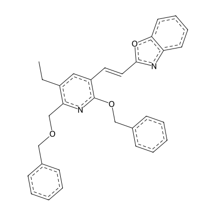 CCc1cc(C=Cc2nc3ccccc3o2)c(OCc2ccccc2)nc1COCc1ccccc1